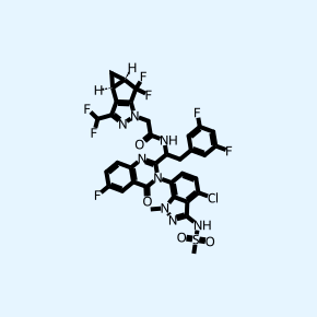 Cn1nc(NS(C)(=O)=O)c2c(Cl)ccc(-n3c(C(Cc4cc(F)cc(F)c4)NC(=O)Cn4nc(C(F)F)c5c4C(F)(F)[C@@H]4C[C@H]54)nc4ccc(F)cc4c3=O)c21